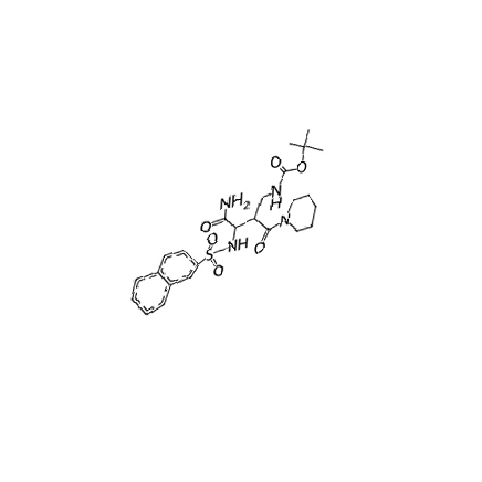 CC(C)(C)OC(=O)NCC(C(=O)N1CCCCC1)C(NS(=O)(=O)c1ccc2ccccc2c1)C(N)=O